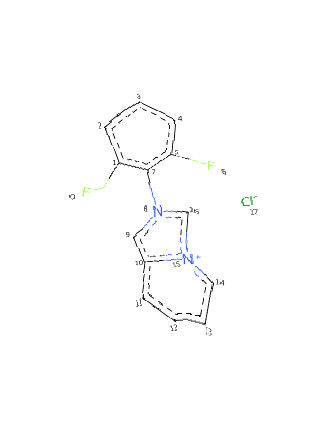 Fc1cccc(F)c1-n1cc2cccc[n+]2c1.[Cl-]